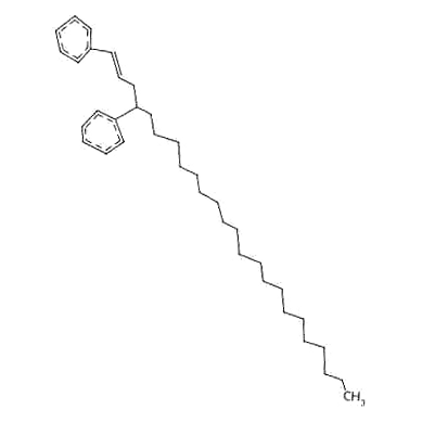 CCCCCCCCCCCCCCCCCCCCC(CC=Cc1ccccc1)c1ccccc1